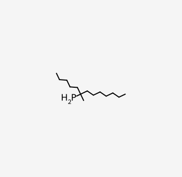 CCCCCCCC(C)(P)CCCCC